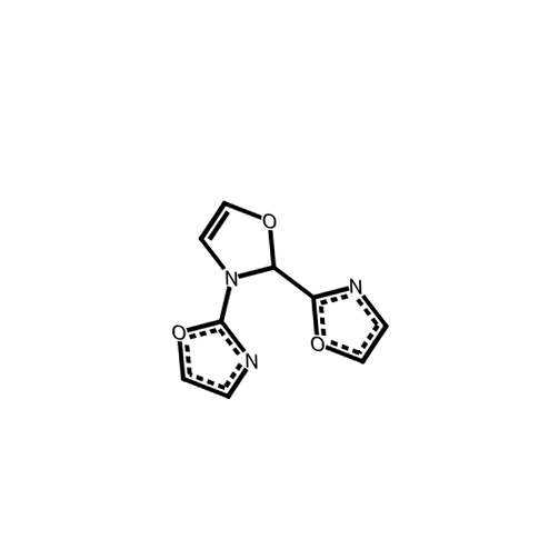 C1=CN(c2ncco2)C(c2ncco2)O1